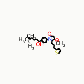 COC1CC(=O)N(c2ccc(C(O)CCCC(C)(C)C)cc2)C1CCCc1cccs1